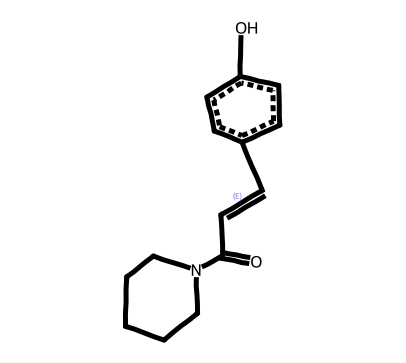 O=C(/C=C/c1ccc(O)cc1)N1CCCCC1